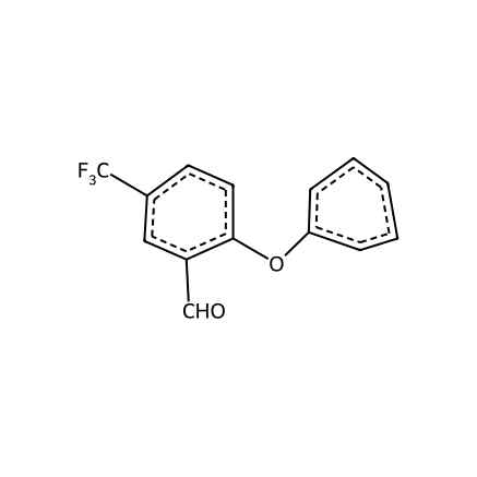 O=Cc1cc(C(F)(F)F)ccc1Oc1ccccc1